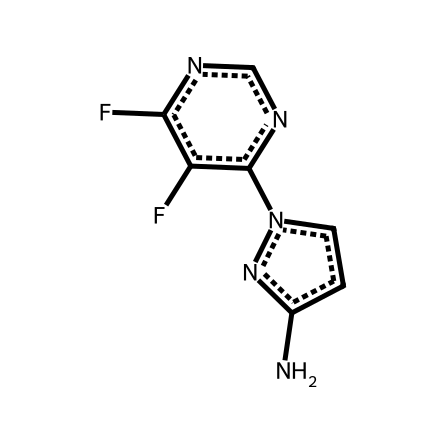 Nc1ccn(-c2ncnc(F)c2F)n1